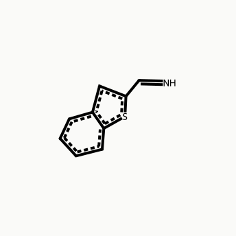 N=Cc1cc2ccccc2s1